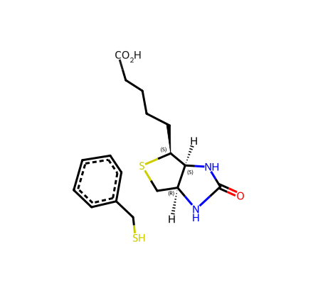 O=C(O)CCCC[C@@H]1SC[C@@H]2NC(=O)N[C@@H]21.SCc1ccccc1